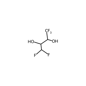 OC(C(F)F)C(O)C(F)(F)F